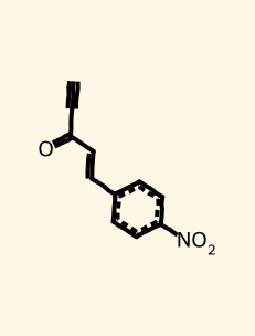 C#CC(=O)/C=C/c1ccc([N+](=O)[O-])cc1